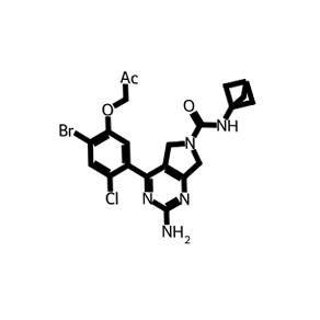 CC(=O)COc1cc(-c2nc(N)nc3c2CN(C(=O)NC24CC(C2)C4)C3)c(Cl)cc1Br